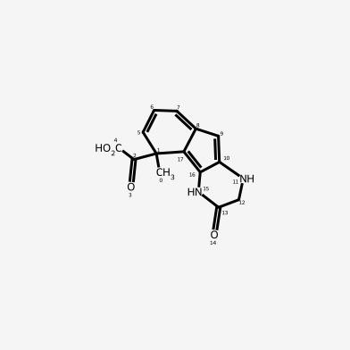 CC1(C(=O)C(=O)O)C=CC=C2C=C3NCC(=O)NC3=C21